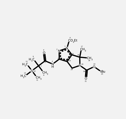 CCOC(=O)n1nc(NC(=O)C(C)(C)[Si](C)(C)C)c2c1C(C)(C)N(C(=O)OC(C)(C)C)C2